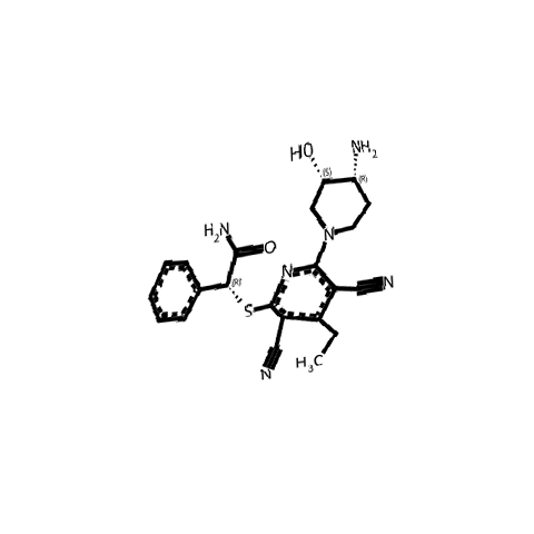 CCc1c(C#N)c(S[C@@H](C(N)=O)c2ccccc2)nc(N2CC[C@@H](N)[C@@H](O)C2)c1C#N